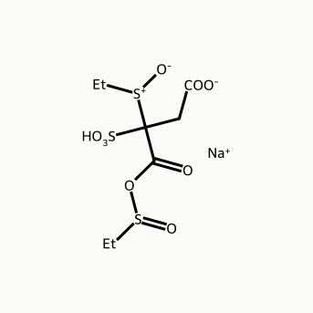 CCS(=O)OC(=O)C(CC(=O)[O-])([S+]([O-])CC)S(=O)(=O)O.[Na+]